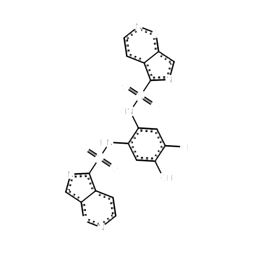 Cc1cc(NS(=O)(=O)c2ncc3snccc2-3)c(NS(=O)(=O)c2ncc3snccc2-3)cc1Cl